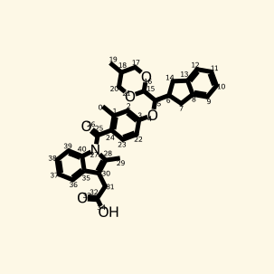 Cc1cc(OC(C2Cc3ccccc3C2)C2OCC(C)CO2)ccc1C(=O)n1c(C)c(CC(=O)O)c2ccccc21